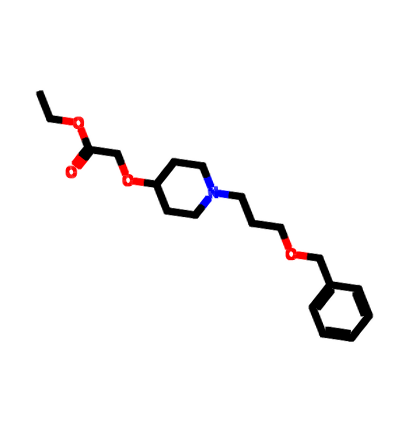 CCOC(=O)COC1CCN(CCCOCc2ccccc2)CC1